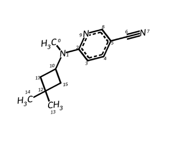 CN(c1ccc(C#N)cn1)C1CC(C)(C)C1